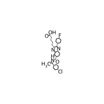 C[C@H](NC(=O)c1ccc2nc(-c3ccc(F)cc3)c(CCCCC(=O)O)nc2c1)c1ccc(Cl)cc1